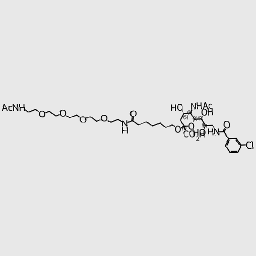 CC(=O)NCCOCCOCCOCCOCCNC(=O)CCCCCCO[C@]1(C(=O)O)C[C@H](O)[C@@H](NC(C)=O)[C@H]([C@H](O)[C@H](O)CNC(=O)c2cccc(Cl)c2)O1